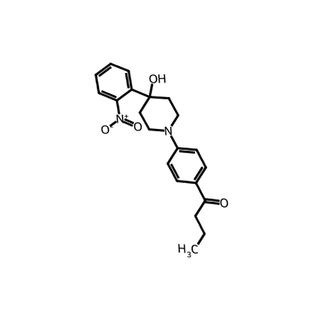 CCCC(=O)c1ccc(N2CCC(O)(c3ccccc3[N+](=O)[O-])CC2)cc1